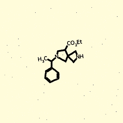 CCOC(=O)C1CN(C(C)c2ccccc2)CC12CNC2